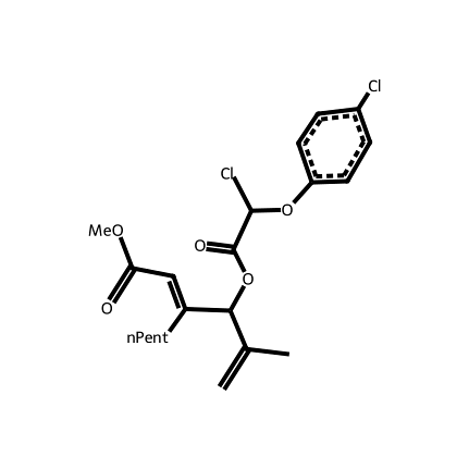 C=C(C)C(OC(=O)C(Cl)Oc1ccc(Cl)cc1)C(=CC(=O)OC)CCCCC